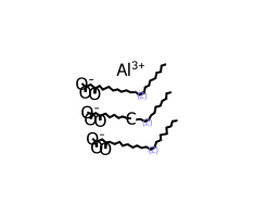 CCCCCCCC/C=C\CCCCCCCCCC(=O)CC(=O)[O-].CCCCCCCC/C=C\CCCCCCCCCC(=O)CC(=O)[O-].CCCCCCCC/C=C\CCCCCCCCCC(=O)CC(=O)[O-].[Al+3]